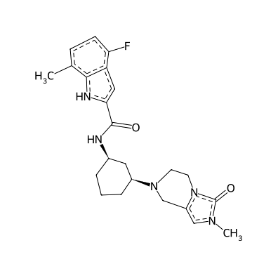 Cc1ccc(F)c2cc(C(=O)N[C@@H]3CCC[C@H](N4CCn5c(cn(C)c5=O)C4)C3)[nH]c12